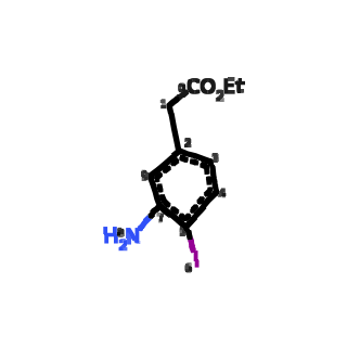 CCOC(=O)Cc1ccc(I)c(N)c1